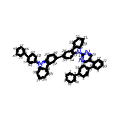 c1ccc(-c2ccc(-c3ccccc3-c3cnc(-n4c5ccccc5c5cc(-c6ccc7c(c6)c6ccccc6n7-c6ccc(-c7ccccc7)cc6)ccc54)nc3)cc2)cc1